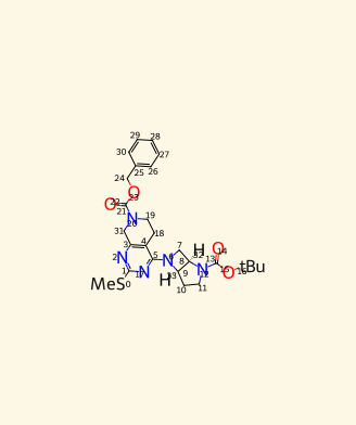 CSc1nc2c(c(N3C[C@@H]4[C@H]3CCN4C(=O)OC(C)(C)C)n1)CCN(C(=O)OCc1ccccc1)C2